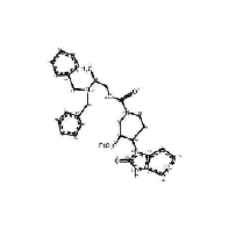 CCOC(=O)C1CN(C(=O)OCC(C)N(Cc2ccccc2)Cc2ccccc2)CCC1n1c(=O)[nH]c2ccccc21